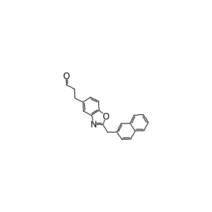 O=CCCc1ccc2oc(Cc3ccc4ccccc4c3)nc2c1